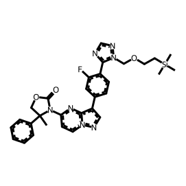 CC1(c2ccccc2)COC(=O)N1c1ccn2ncc(-c3ccc(-c4ncnn4COCC[Si](C)(C)C)c(F)c3)c2n1